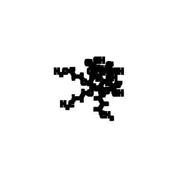 CCCCO[C@@H]1[C@@H](OCCCC)[C@H](OP(=O)(O)O)[C@@H](OP(=O)(O)O)[C@@H](OP(=O)(O)O)[C@H]1OCCCC